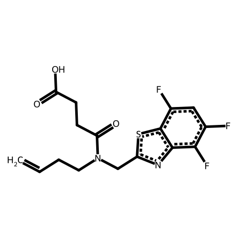 C=CCCN(Cc1nc2c(F)c(F)cc(F)c2s1)C(=O)CCC(=O)O